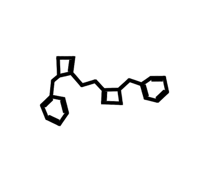 C1=C(CCC2=CCC2Cc2ccccc2)C(Cc2ccccc2)C1